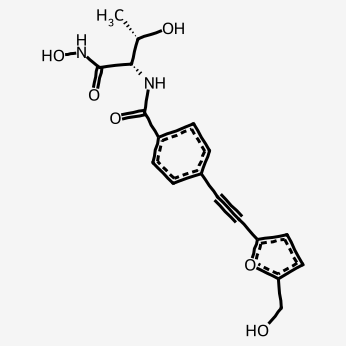 C[C@H](O)[C@H](NC(=O)c1ccc(C#Cc2ccc(CO)o2)cc1)C(=O)NO